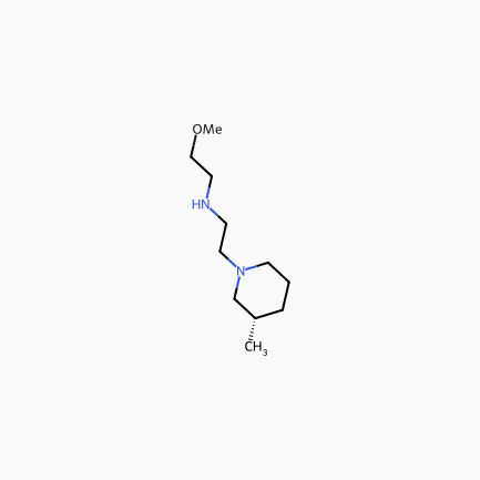 COCCNCCN1CCC[C@H](C)C1